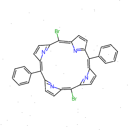 BrC1=C2C=CC(=N2)C(c2ccccc2)=C2C=CC(=N2)C(Br)=C2C=CC(=N2)C(c2ccccc2)=C2C=CC1=N2